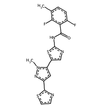 Cc1ccc(F)c(C(=O)Nc2ncc(-c3cc(-c4nccs4)nn3C)s2)c1F